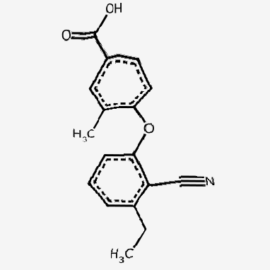 CCc1cccc(Oc2ccc(C(=O)O)cc2C)c1C#N